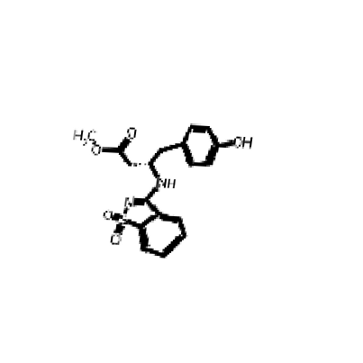 COC(=O)C[C@H](Cc1ccc(O)cc1)NC1=NS(=O)(=O)c2ccccc21